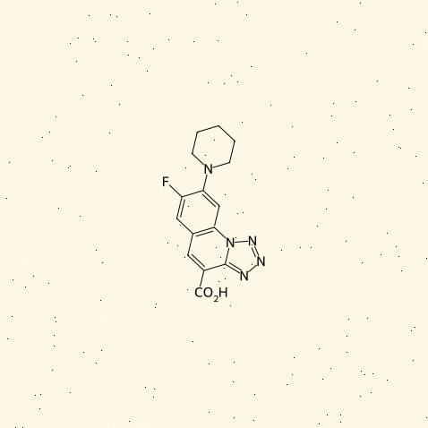 O=C(O)c1cc2cc(F)c(N3CCCCC3)cc2n2nnnc12